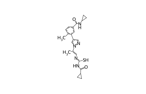 C/C(=C\N=C(/S)NC(=O)C1CC1)n1cc(-c2cc(C(=O)NC3CC3)ccc2C)cn1